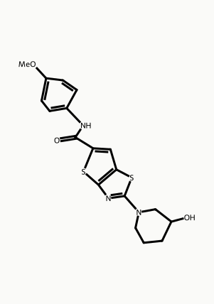 COc1ccc(NC(=O)c2cc3sc(N4CCCC(O)C4)nc3s2)cc1